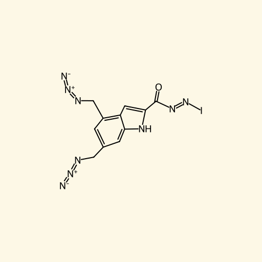 [N-]=[N+]=NCc1cc(CN=[N+]=[N-])c2cc(C(=O)N=NI)[nH]c2c1